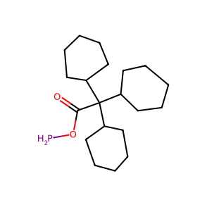 O=C(OP)C(C1CCCCC1)(C1CCCCC1)C1CCCCC1